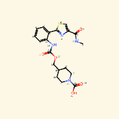 CNC(=O)c1csc(-c2ccccc2NC(=O)OCC2CCN(C(=O)O)CC2)n1